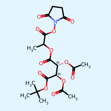 CC(=O)O[C@@H](C(=O)OC(C)C(=O)ON1C(=O)CCC1=O)[C@@H](OC(C)=O)C(=O)OC(C)(C)C